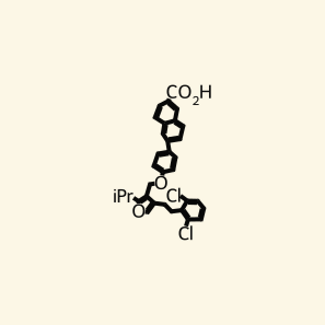 CC(C)c1occ(CCc2c(Cl)cccc2Cl)c1COc1ccc(-c2ccc3cc(C(=O)O)ccc3c2)cc1